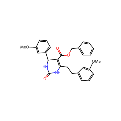 COc1cccc(CCC2=C(C(=O)OCc3ccccc3)C(c3cccc(OC)c3)NC(=O)N2)c1